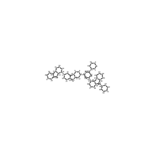 c1ccc(-c2nc(-c3ccc4c(c3)oc3ccc(-c5cccc6c5sc5ccccc56)cc34)nc(-c3cccc4c3c3ccccc3n4-c3ccccc3)n2)cc1